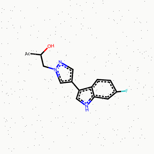 CC(=O)C(O)Cn1cc(-c2c[nH]c3cc(F)ccc23)cn1